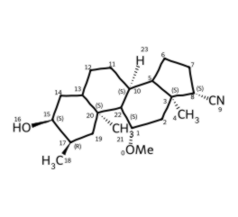 CO[C@H]1C[C@@]2(C)C(CC[C@@H]2C#N)[C@@H]2CCC3C[C@H](O)[C@H](C)C[C@]3(C)C21